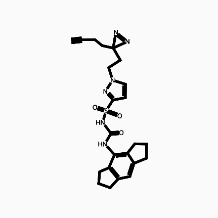 C#CCCC1(CCn2ccc(S(=O)(=O)NC(=O)Nc3c4c(cc5c3CCC5)CCC4)n2)N=N1